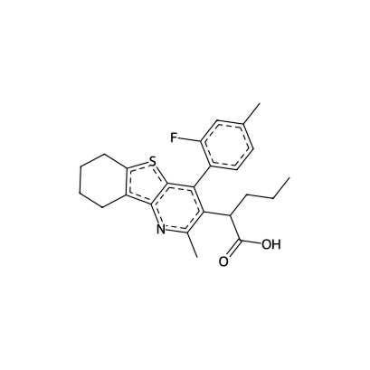 CCCC(C(=O)O)c1c(C)nc2c3c(sc2c1-c1ccc(C)cc1F)CCCC3